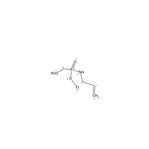 C=CCNP(=O)(COC(C)=O)OCC